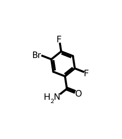 NC(=O)c1cc(Br)c(F)cc1F